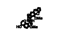 COc1ccc2c(c1S(=O)(=O)Nc1noc3cc(Cn4cccn4)c(Cl)c(OC)c13)OCCC2O